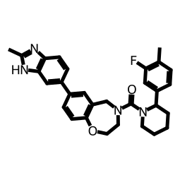 Cc1nc2ccc(-c3ccc4c(c3)CN(C(=O)N3CCCCC3c3ccc(C)c(F)c3)CCO4)cc2[nH]1